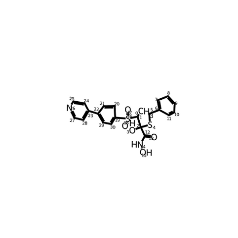 CC(C(O)(SCc1ccccc1)C(=O)NO)S(=O)(=O)c1ccc(-c2ccncc2)cc1